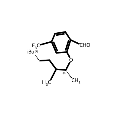 CC[C@@H](C)CCC(C)[C@@H](C)Oc1cc(C(F)(F)F)ccc1C=O